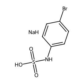 O=S(=O)(O)Nc1ccc(Br)cc1.[NaH]